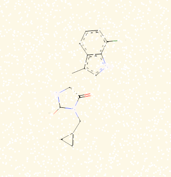 O=C1[C@@H](Cc2c[nH]c3c(Cl)cccc23)NC(O)N1CC1CC1